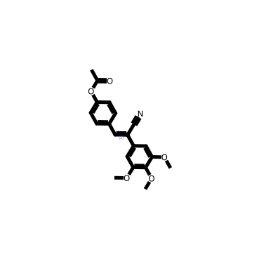 COc1cc(/C(C#N)=C/c2ccc(OC(C)=O)cc2)cc(OC)c1OC